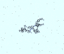 CCCC(C)O[C@]1(C)CC[C@@H](O[Si](CC)(CC)CC)CC(=O)O[C@H](/C(C)=C/C=C/[C@@H](C)C[C@H]2O[C@@H]2[C@H](C)[C@H](CC)O[Si](CC)(CC)CC)[C@@H](C)/C=C/[C@@H]1OC(=O)Oc1ccc([N+](=O)[O-])cc1